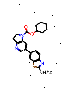 CC(=O)Nc1nc2ccc(-c3cnc4c(c3)N(C(=O)OC3CCCCC3)CC4)cc2s1